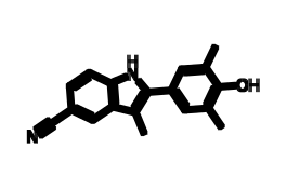 Cc1cc(-c2[nH]c3ccc(C#N)cc3c2C)cc(C)c1O